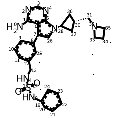 Nc1ncnc2c1c(-c1cccc(CNS(=O)(=O)Nc3ccccc3)c1)cn2[C@H]1C[C@@H](CN2CCC2)C1